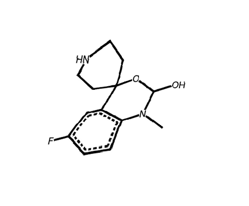 CN1c2ccc(F)cc2C2(CCNCC2)OC1O